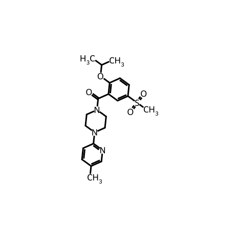 Cc1ccc(N2CCN(C(=O)c3cc(S(C)(=O)=O)ccc3OC(C)C)CC2)nc1